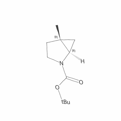 CC(C)(C)OC(=O)N1CC[C@]2(C)C[C@@H]12